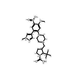 COc1cc(N2CCN(CC3CCN(C(=O)O)C3C(C)(C)C)CC2)c(-c2cnn(C)c2)cc1[N+](=O)[O-]